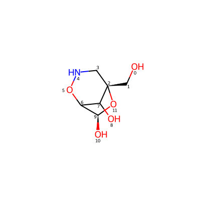 OC[C@]12CNOC(C1O)[C@H](O)O2